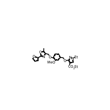 CCOC(=O)c1cn(CC)nc1OCc1ccc(OCc2nc(-c3ccco3)oc2C)c(OC)c1